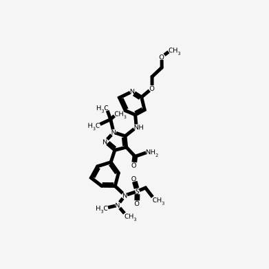 CCS(=O)(=O)N(c1cccc(-c2nn(C(C)(C)C)c(Nc3ccnc(OCCOC)c3)c2C(N)=O)c1)N(C)C